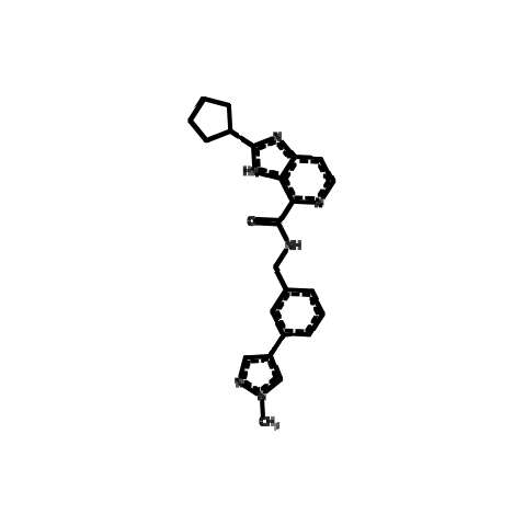 Cn1cc(-c2cccc(CNC(=O)c3nccc4nc(C5CCCC5)[nH]c34)c2)cn1